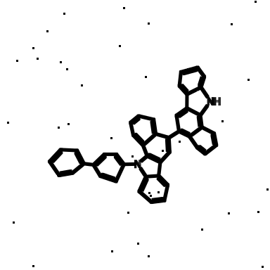 c1ccc(-c2ccc(-n3c4ccccc4c4cc(-c5cc6c7ccccc7[nH]c6c6ccccc56)c5ccccc5c43)cc2)cc1